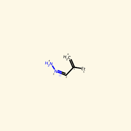 C=C(/C=N\N)CC